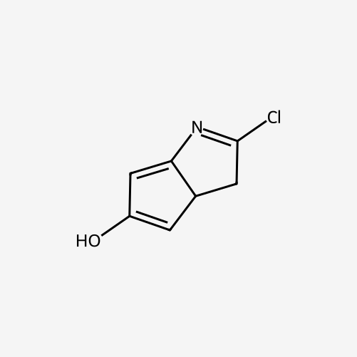 OC1=CC2CC(Cl)=NC2=C1